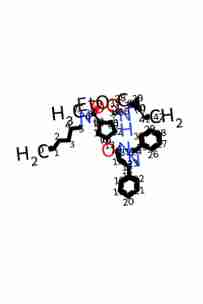 C=CCCCCN(C)C(=O)[C@@H]1C[C@H](Oc2cc(-c3ccccc3)nc(-c3ccccc3)n2)C[C@H]1C(=O)N[C@]1(C(=O)OCC)C[C@H]1C=C